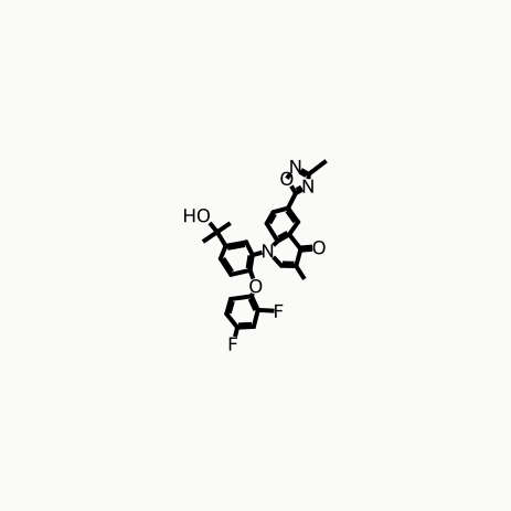 Cc1noc(-c2ccc3c(c2)c(=O)c(C)cn3-c2cc(C(C)(C)O)ccc2Oc2ccc(F)cc2F)n1